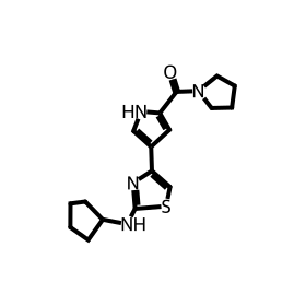 O=C(c1cc(-c2csc(NC3CCCC3)n2)c[nH]1)N1CCCC1